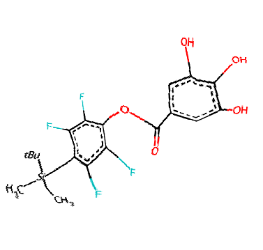 CC(C)(C)[Si](C)(C)c1c(F)c(F)c(OC(=O)c2cc(O)c(O)c(O)c2)c(F)c1F